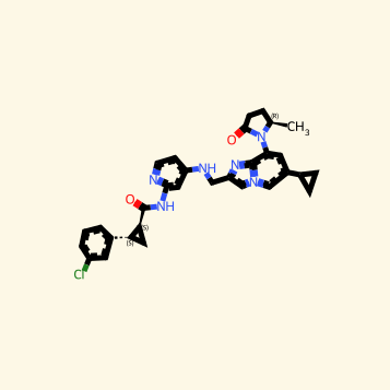 C[C@@H]1CCC(=O)N1c1cc(C2CC2)cn2cc(CNc3ccnc(NC(=O)[C@H]4C[C@@H]4c4cccc(Cl)c4)c3)nc12